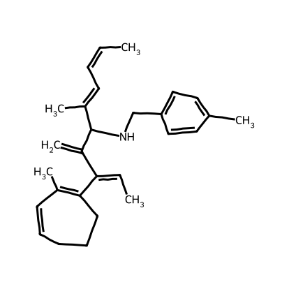 C=C(/C(=C/C)C1=C(C)C=CCCC1)C(NCc1ccc(C)cc1)/C(C)=C/C=C\C